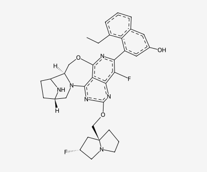 CCc1cccc2cc(O)cc(-c3nc4c5c(nc(OC[C@@]67CCCN6C[C@H](F)C7)nc5c3F)N3C[C@@H]5CCC(N5)[C@H]3CO4)c12